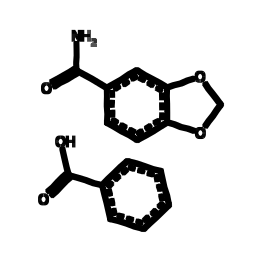 NC(=O)c1ccc2c(c1)OCO2.O=C(O)c1ccccc1